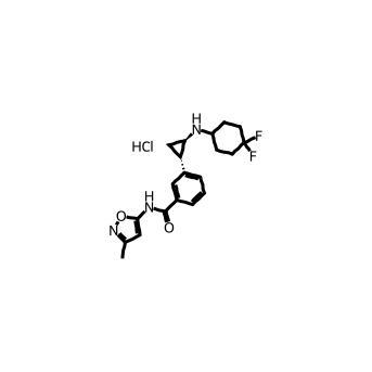 Cc1cc(NC(=O)c2cccc([C@@H]3C[C@H]3NC3CCC(F)(F)CC3)c2)on1.Cl